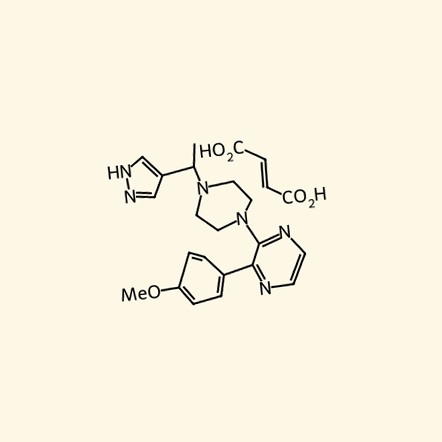 COc1ccc(-c2nccnc2N2CCN(C(C)c3cn[nH]c3)CC2)cc1.O=C(O)/C=C/C(=O)O